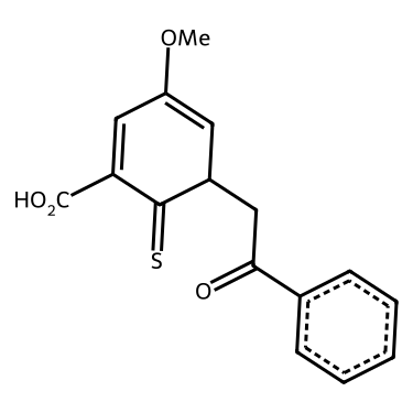 COC1=CC(CC(=O)c2ccccc2)C(=S)C(C(=O)O)=C1